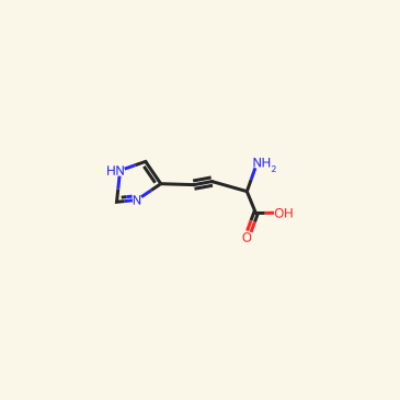 NC(C#Cc1c[nH]cn1)C(=O)O